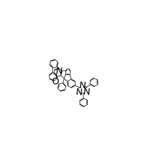 c1ccc(-c2nc(-c3ccccc3)nc(-c3ccc4c(c3)-c3cccc(-n5c6ccccc6c6ccccc65)c3C43c4ccccc4Oc4ccccc43)n2)cc1